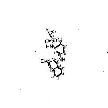 O=S(=O)(Nc1cc(Nc2nc(Cl)nc3ccccc23)ccc1Cl)C1CC1